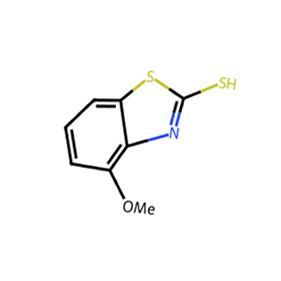 COc1cccc2sc(S)nc12